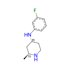 C[C@H]1C[C@H](Nc2cccc(F)c2)CCN1